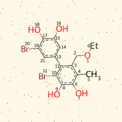 CCOCc1c(C)c(O)c(O)c(Br)c1-c1cc(O)c(O)c(Br)c1